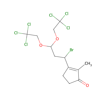 CC1=C(C(Br)CC(OCC(Cl)(Cl)Cl)OCC(Cl)(Cl)Cl)CCC1=O